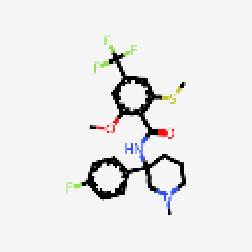 COc1cc(C(F)(F)F)cc(SC)c1C(=O)NC1(c2ccc(F)cc2)CCCN(C)C1